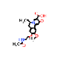 CCC1Cc2cc(OCCNC(C)=O)c(OC)cc2-c2cc(=O)c(C(=O)O)cn21